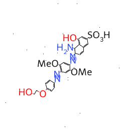 COc1cc(/N=N/C2C=Cc3cc(S(=O)(=O)O)cc(O)c3C2N)c(OC)cc1/N=N/c1ccc(OCCO)cc1